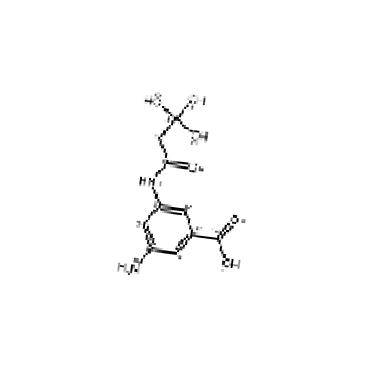 Nc1cc(NC(=O)CC(O)(O)O)cc(C(=O)O)c1